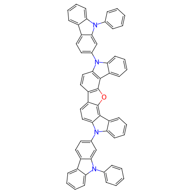 c1ccc(-n2c3ccccc3c3ccc(-n4c5ccccc5c5c6oc7c(ccc8c7c7ccccc7n8-c7ccc8c9ccccc9n(-c9ccccc9)c8c7)c6ccc54)cc32)cc1